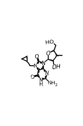 CC1C(CO)OC(n2c(=O)n(CC3CC3)c3c(=O)[nH]c(N)nc32)C1O